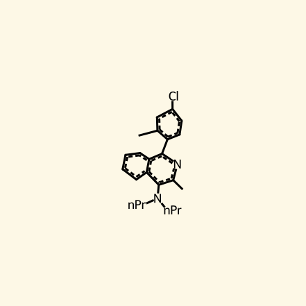 CCCN(CCC)c1c(C)nc(-c2ccc(Cl)cc2C)c2ccccc12